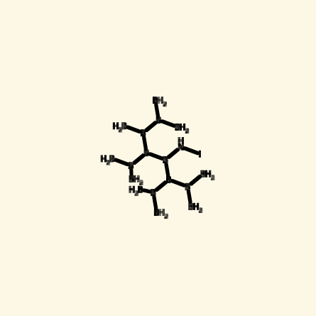 BB(B)B(B)B(B(B)B)B(NI)B(B(B)B)B(B)B